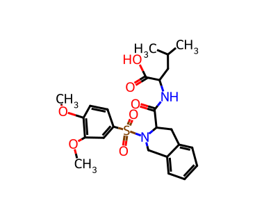 COc1ccc(S(=O)(=O)N2Cc3ccccc3CC2C(=O)NC(CC(C)C)C(=O)O)cc1OC